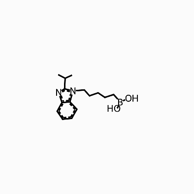 CC(C)c1nc2ccccc2n1CCCCCB(O)O